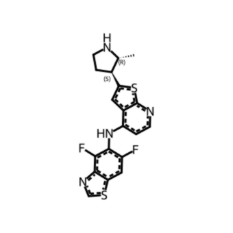 C[C@H]1NCC[C@@H]1c1cc2c(Nc3c(F)cc4scnc4c3F)ccnc2s1